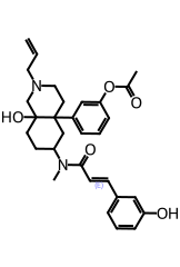 C=CCN1CCC2(c3cccc(OC(C)=O)c3)CC(N(C)C(=O)/C=C/c3cccc(O)c3)CCC2(O)C1